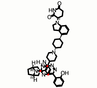 Nc1nnc(-c2ccccc2O)cc1N1C[C@H]2CC[C@@H](C1)N2c1nccc(C2CCN([C@H]3CC[C@H](c4cccc5c4CCN5[C@H]4CCC(=O)NC4=O)CC3)CC2)n1